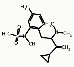 C=C(C1CC1)C(Cc1ccc(C)cc1N(C)S(C)(=O)=O)N(C)C